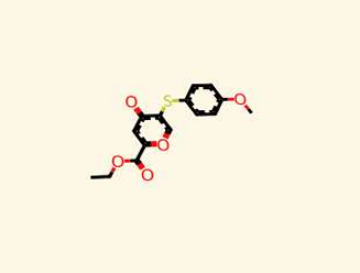 CCOC(=O)c1cc(=O)c(Sc2ccc(OC)cc2)co1